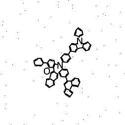 c1ccc(-c2ccc(N(c3ccc(-c4ccc5c(c4)c4ccccc4n5-c4ccccc4)cc3)c3ccc(-c4cc5ccccc5c5ccccc45)cc3)c3c2oc2c4ccccc4ccc23)cc1